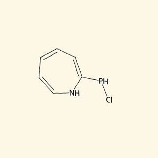 ClPC1=CC=CC=CN1